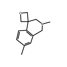 Cc1ccc2c(c1)CN(C)CC21COC1